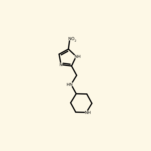 O=[N+]([O-])c1cnc(CNC2CCNCC2)[nH]1